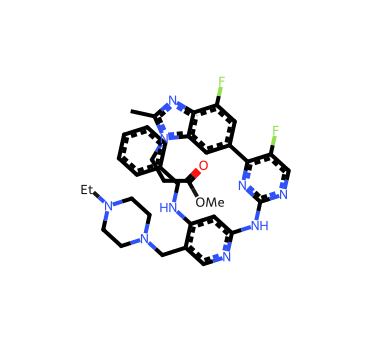 CCN1CCN(Cc2cnc(Nc3ncc(F)c(-c4cc(F)c5nc(C)n(CCC(=O)OC)c5c4)n3)cc2NCc2ccccc2)CC1